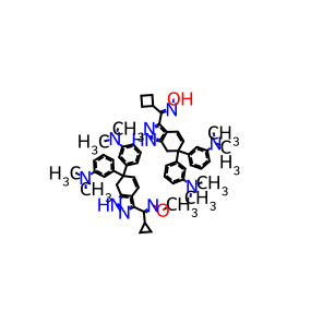 CN(C)c1cccc(C2(c3cccc(N(C)C)c3)C=Cc3c(C(=NO)C4CCC4)n[nH]c3C2)c1.CON=C(c1n[nH]c2c1C=CC(c1cccc(N(C)C)c1)(c1cccc(N(C)C)c1)C2)C1CC1